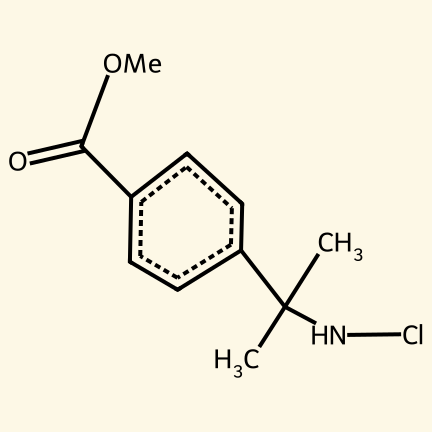 COC(=O)c1ccc(C(C)(C)NCl)cc1